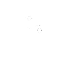 O=S(=O)(OOCc1ccccc1)c1ccccc1.[NaH]